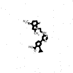 COc1ccc(F)c2c1cc(C)n2CCNc1cc(-c2ccc(C(=O)O)c(C3CC3)c2)ncn1